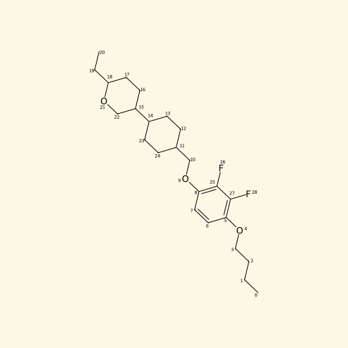 CCCCOc1ccc(OCC2CCC(C3CCC(CC)OC3)CC2)c(F)c1F